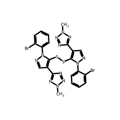 Cn1nnc(-c2cnn(-c3ccccc3Br)c2SSc2c(-c3nnn(C)n3)cnn2-c2ccccc2Br)n1